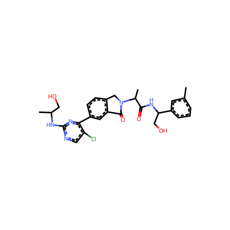 Cc1cccc(C(CO)NC(=O)C(C)N2Cc3ccc(-c4nc(NC(C)CO)ncc4Cl)cc3C2=O)c1